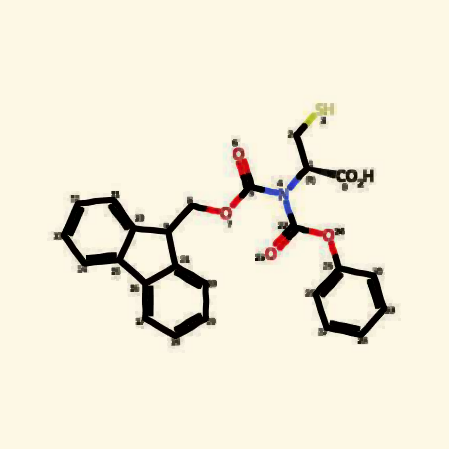 O=C(O)[C@H](CS)N(C(=O)OCC1c2ccccc2-c2ccccc21)C(=O)Oc1ccccc1